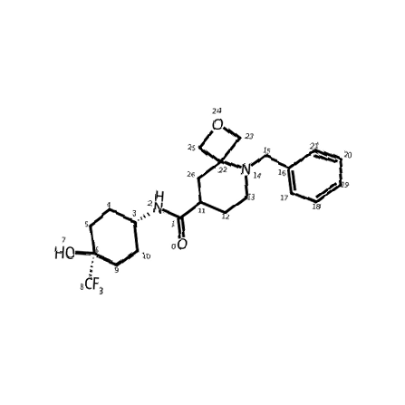 O=C(N[C@H]1CC[C@@](O)(C(F)(F)F)CC1)C1CCN(Cc2ccccc2)C2(COC2)C1